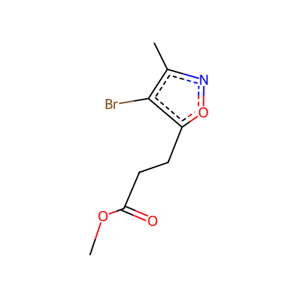 COC(=O)CCc1onc(C)c1Br